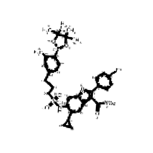 CNC(=O)c1c(-c2ccc(F)cc2)oc2cc(NS(=O)(=O)CCCc3ccc(B4OC(C)(C)C(C)(C)O4)c(C(F)(F)F)c3)c(C3CC3)cc12